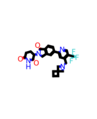 O=C1CCC(N2Cc3cc(-c4cc(CN5CC6(CCC6)C5)c(C(F)(F)F)cn4)ccc3C2=O)C(=O)N1